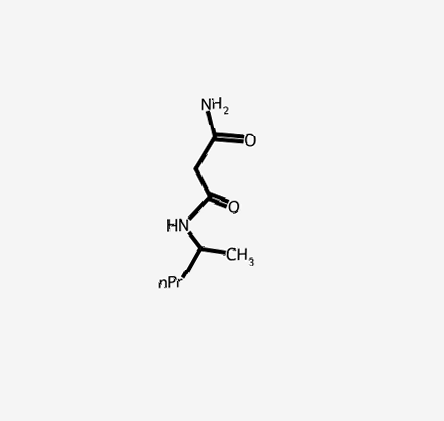 CCCC(C)NC(=O)CC(N)=O